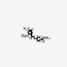 COc1cc(N)c(I)cc1C(=O)CCC1CCN(C(=O)OC(C)(C)C)CC1